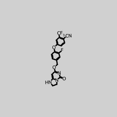 N#Cc1ccc(Oc2ccc(COc3cc4n(c(=O)n3)CCN4)cc2F)cc1C(F)(F)F